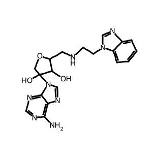 Nc1ncnc2c1ncn2C1(O)COC(CNCCn2cnc3ccccc32)C1O